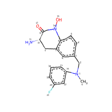 CN(Cc1ccc2c(c1)C[C@H](N)C(=O)N2O)c1cccc(F)c1